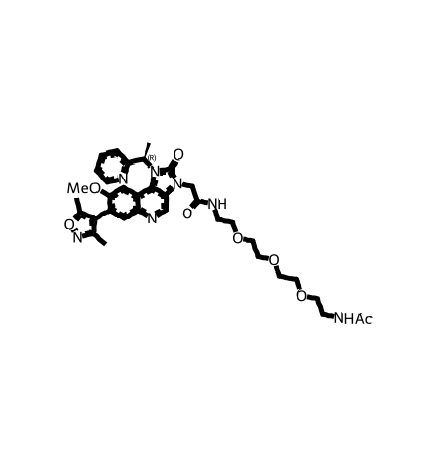 COc1cc2c(cc1-c1c(C)noc1C)ncc1c2n([C@H](C)c2ccccn2)c(=O)n1CC(=O)NCCOCCOCCOCCNC(C)=O